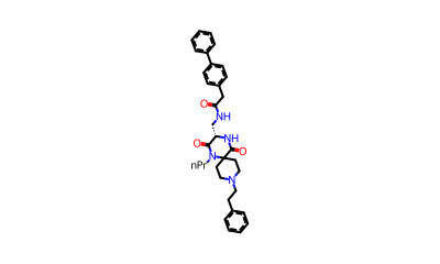 CCCN1C(=O)[C@H](CNC(=O)Cc2ccc(-c3ccccc3)cc2)NC(=O)C12CCN(CCc1ccccc1)CC2